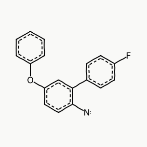 [N]c1ccc(Oc2ccccc2)cc1-c1ccc(F)cc1